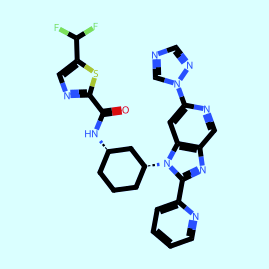 O=C(N[C@H]1CCC[C@@H](n2c(-c3ccccn3)nc3cnc(-n4cncn4)cc32)C1)c1ncc(C(F)F)s1